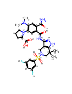 CN(C)c1cc(C(N)=O)c(C(=O)Nc2n[nH]c3c2CN(S(=O)(=O)c2cc(F)cc(F)c2)CC3(C)C)cc1N1CCC[C@H]1C(=O)O